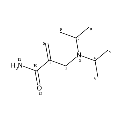 C=C(CN(C(C)C)C(C)C)C(N)=O